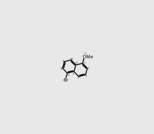 COc1cccc2c(Br)cccc12